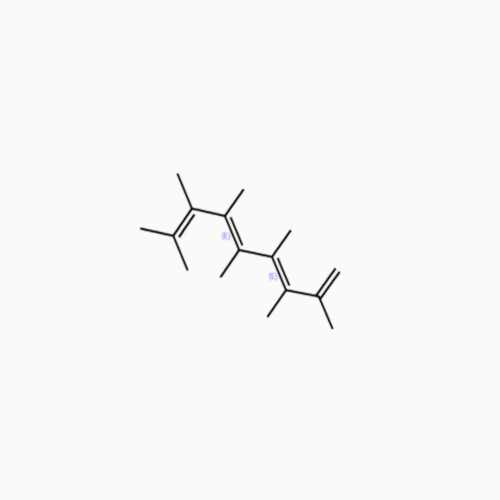 C=C(C)/C(C)=C(C)/C(C)=C(\C)C(C)=C(C)C